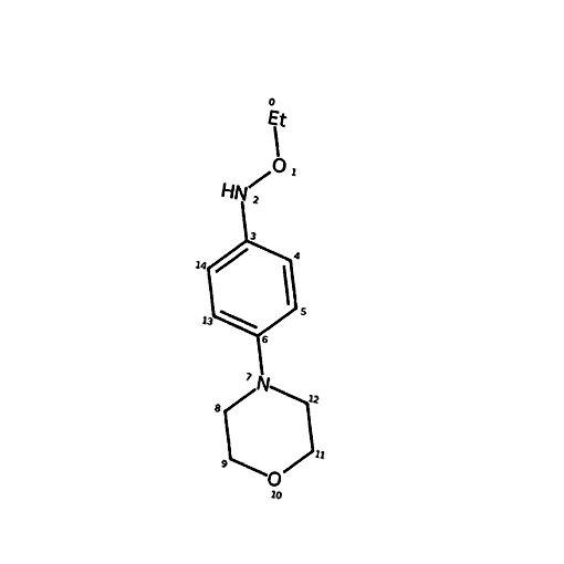 CCONc1ccc(N2CCOCC2)cc1